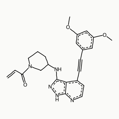 C=CC(=O)N1CCCC(Nc2n[nH]c3nccc(C#Cc4cc(OC)cc(OC)c4)c23)C1